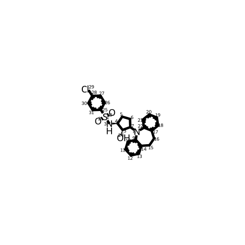 O=S(=O)(N[C@H]1CCC(N2c3ccccc3CCc3ccccc32)[C@@H]1O)c1ccc(Cl)cc1